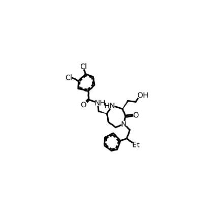 CCC(CN1CC[C@@H](CNC(=O)c2ccc(Cl)c(Cl)c2)N[C@@H](CCO)C1=O)c1ccccc1